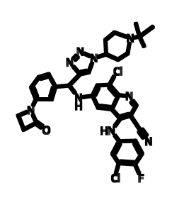 CC(C)(C)N1CCC(n2cc(C(Nc3cc(Cl)c4ncc(C#N)c(Nc5ccc(F)c(Cl)c5)c4c3)c3cccc(N4CCC4=O)c3)nn2)CC1